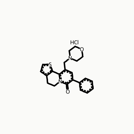 Cl.O=c1c(-c2ccccc2)cc(CN2CCOCC2)c2n1CCc1ccsc1-2